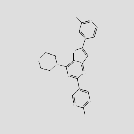 Nc1ncc(-c2nc(N3CCOCC3)c3sc(-c4ccnc(F)c4)cc3n2)cn1